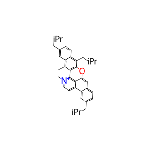 Cc1c2c(c(CC(C)C)c3ccc(CC(C)C)cc13)Oc1cc3ccc(CC(C)C)cc3c3cc[n+](C)c-2c13